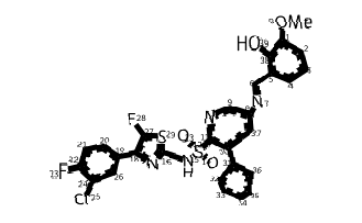 COc1cccc(/C=N/c2cnc(S(=O)(=O)Nc3nc(-c4ccc(F)c(Cl)c4)c(F)s3)c(-c3ccccc3)c2)c1O